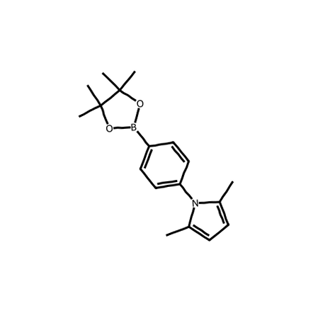 Cc1ccc(C)n1-c1ccc(B2OC(C)(C)C(C)(C)O2)cc1